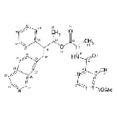 COc1ccnc(C(=O)N[C@@H](C)C(=O)O[C@@H](C)[C@H](Cc2ccc3ccccc3c2)c2ccccc2)c1O